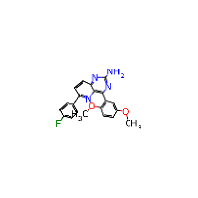 COc1ccc(OC)c(-c2nc(N)nc3ccc(-c4ccc(F)cc4)nc23)c1